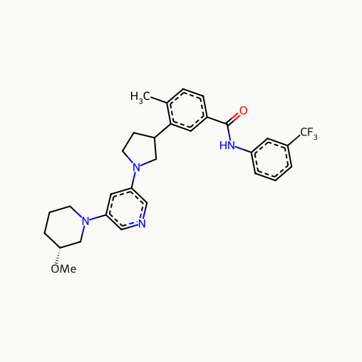 CO[C@@H]1CCCN(c2cncc(N3CCC(c4cc(C(=O)Nc5cccc(C(F)(F)F)c5)ccc4C)C3)c2)C1